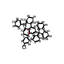 Clc1cccc(-c2cccc(C3(c4cccc(-c5ccccc5N(c5ccccc5)c5ccccc5)c4)c4ccccc4-c4ccccc43)c2)c1